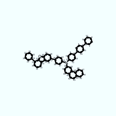 c1ccc(-c2ccc(-c3ccc(N(c4ccc(-c5ccc6oc7c(-c8ccccc8)cccc7c6c5)cc4)c4ccc5ccc6ccccc6c5c4)cc3)cc2)cc1